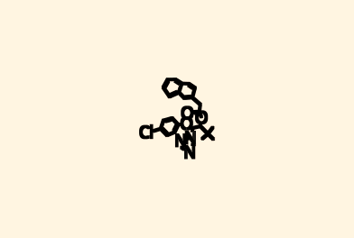 CC(C)(C)C(OC(=O)Cc1ccc2ccccc2c1)C(Oc1ccc(Cl)cc1)n1cncn1